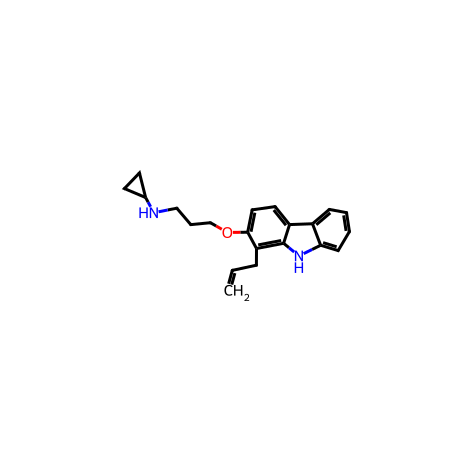 C=CCc1c(OCCCNC2CC2)ccc2c1[nH]c1ccccc12